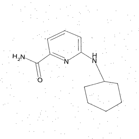 NC(=O)c1[c]ccc(NC2CCCCC2)n1